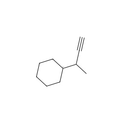 C#CC(C)[C]1CCCCC1